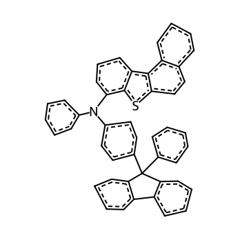 c1ccc(N(c2ccc(C3(c4ccccc4)c4ccccc4-c4ccccc43)cc2)c2cccc3c2sc2ccc4ccccc4c23)cc1